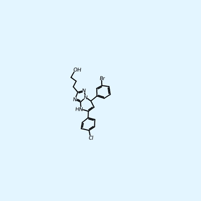 OCCCc1nc2n(n1)C(c1cccc(Br)c1)C=C(c1ccc(Cl)cc1)N2